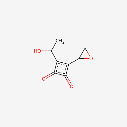 CC(O)c1c(C2CO2)c(=O)c1=O